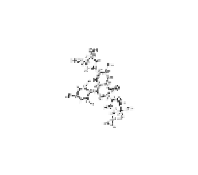 Cc1cc(F)cc(C)c1-n1cc(C(=O)N[C@@H](C2CC2)C(F)(F)F)c(=O)c2cc(F)c(N3C[C@@H](O)[C@H](O)C3)nc21